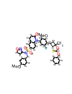 COc1ccc(CN(c2ccon2)S(=O)(=O)c2ccc3c(ccc(=O)n3-c3cc(F)c(C4CC(OC(=S)Oc5ccccc5)(C(F)(F)F)C4)cc3OC)c2)cc1